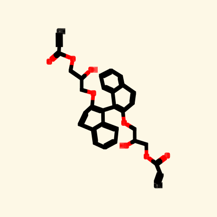 C#CC(=O)OCC(O)COc1ccc2ccccc2c1-c1c(OCC(O)COC(=O)C#C)ccc2ccccc12